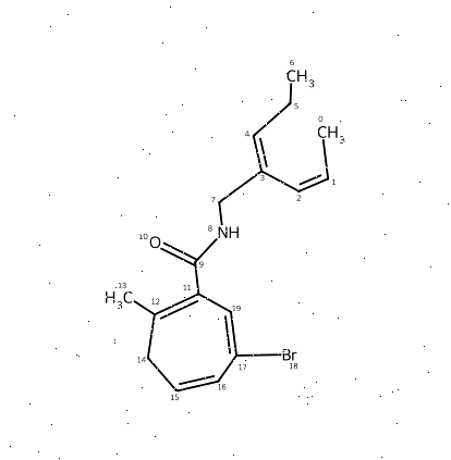 C/C=C\C(=C/CC)CNC(=O)C1=C(C)CC=CC(Br)=C1